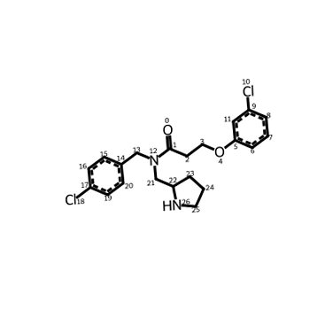 O=C(CCOc1cccc(Cl)c1)N(Cc1ccc(Cl)cc1)CC1CCCN1